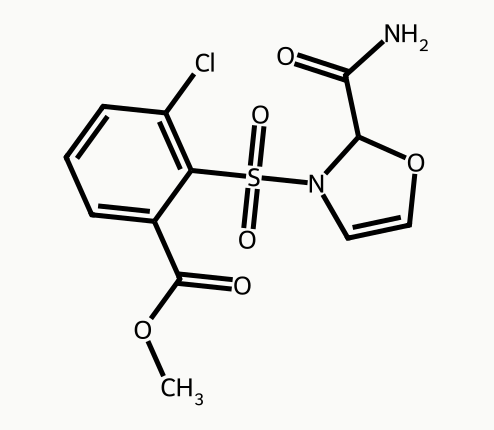 COC(=O)c1cccc(Cl)c1S(=O)(=O)N1C=COC1C(N)=O